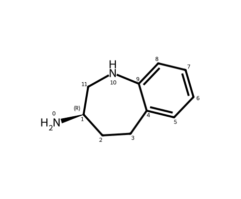 N[C@@H]1CCc2ccccc2NC1